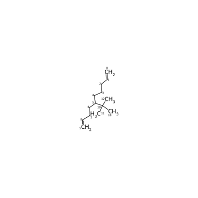 C=CCCCC(CCC=C)C(C)(C)C